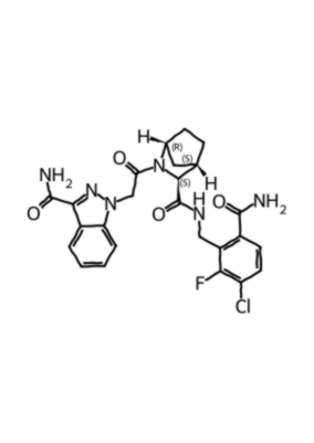 NC(=O)c1ccc(Cl)c(F)c1CNC(=O)[C@@H]1[C@H]2CC[C@H](C2)N1C(=O)Cn1nc(C(N)=O)c2ccccc21